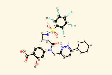 O=C(O)c1ccc(N(Cc2ccc(C3CCCCC3)nn2)C(=O)[C@H]2CCN2S(=O)(=O)c2c(F)c(F)c(F)c(F)c2F)cc1O